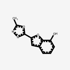 Cc1nnc(-c2cc3cccc(O)c3o2)o1